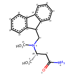 NC(=O)C[C@H](C(=O)O)N(CC1c2ccccc2-c2ccccc21)C(=O)O